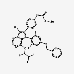 CC(C)(C)OC(=O)Nc1ccc(-c2c(Br)c3ncnc(OC(F)C(F)F)c3n2-c2c(F)cc(OCc3ccccc3)cc2F)cc1